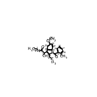 CCNC(=O)C(C)c1c(CC)n(C(=O)c2ccccc2C)c2ccc(OC)cc12